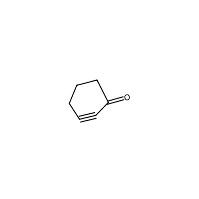 O=C1C#CCCC1